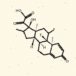 CC1C[C@H]2[C@@H]3CCC4=CC(=O)C=C[C@]4(C)[C@@]3(F)C(F)C[C@]2(C)[C@@]1(O)C(=O)C(=O)O